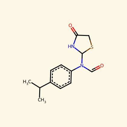 CC(C)c1ccc(N(C=O)C2NC(=O)CS2)cc1